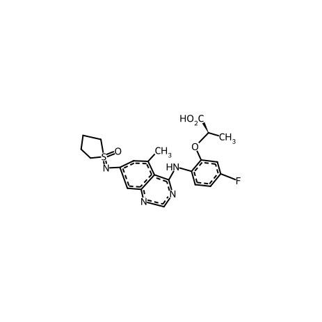 Cc1cc(N=S2(=O)CCCC2)cc2ncnc(Nc3ccc(F)cc3O[C@H](C)C(=O)O)c12